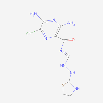 Nc1nc(N)c(C(=O)N=CNNC2NCCS2)nc1Cl